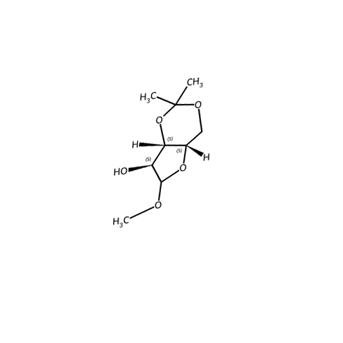 COC1O[C@H]2COC(C)(C)O[C@H]2[C@@H]1O